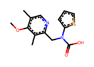 COc1c(C)cnc(CN(C(=O)O)c2cccs2)c1C